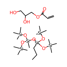 C=CC(=O)OCC(O)CO.CCC[Si](O[Si](C)(C)C)(O[Si](C)(C)C)O[Si](C)(O[Si](C)(C)C)O[Si](C)(C)C